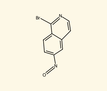 O=Nc1ccc2c(Br)nccc2c1